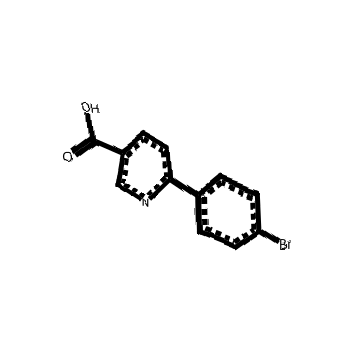 O=C(O)c1ccc(-c2ccc(Br)cc2)nc1